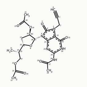 C#CCn1c(=O)n([C@@H]2O[C@H]([C@@H](C)COC(C)=O)C[C@H]2OC(C)=O)c2nc(NC(C)=O)[nH]c(=O)c21